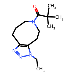 CCn1nnc2c1CCN(C(=O)C(C)(C)C)CCC2